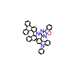 c1ccc(-n2c3ccccc3c3c(-c4nc5oc6ccccc6c5nc4-n4c5ccc6ccccc6c5c5c6c7ccccc7c7ccccc7c6ccc54)cccc32)cc1